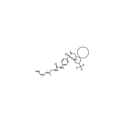 C=N/C=C\C=C(/C)CNC(=O)Nc1ccc(S(=O)(=O)N(C)CC2NCC(C(F)(F)F)CC23CCCCCCCCC3)cc1